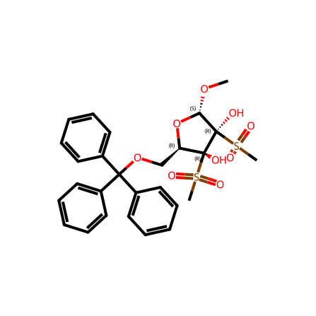 CO[C@H]1O[C@H](COC(c2ccccc2)(c2ccccc2)c2ccccc2)[C@@](O)(S(C)(=O)=O)[C@]1(O)S(C)(=O)=O